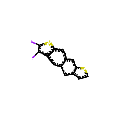 Ic1sc2cc3cc4sccc4cc3cc2c1I